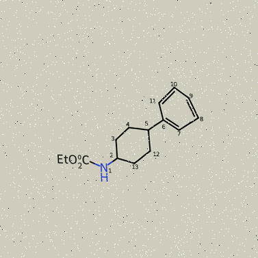 CCOC(=O)NC1CCC(c2ccccc2)CC1